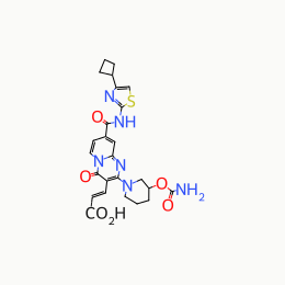 NC(=O)OC1CCCN(c2nc3cc(C(=O)Nc4nc(C5CCC5)cs4)ccn3c(=O)c2C=CC(=O)O)C1